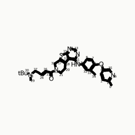 Cc1ccc(Oc2ccc(Nc3ncnc4sc5c(c34)CCN(C(=O)/C=C/CN(C)C(C)(C)C)C5)cc2C)cn1